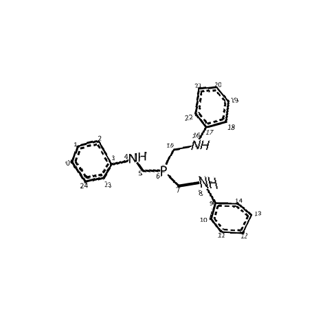 c1ccc(NCP(CNc2ccccc2)CNc2ccccc2)cc1